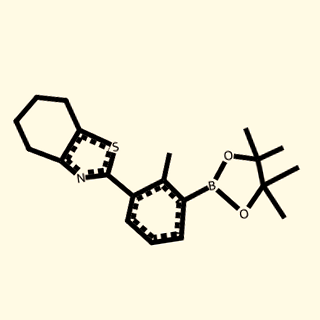 Cc1c(B2OC(C)(C)C(C)(C)O2)cccc1-c1nc2c(s1)CCCC2